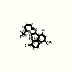 COC1C=C(F)C(c2nc3cccc(C(F)(F)F)n3c2Nc2c(C)cccc2Cl)=C(F)C1